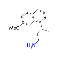 COc1ccc2cccc(C(C)CCN)c2c1